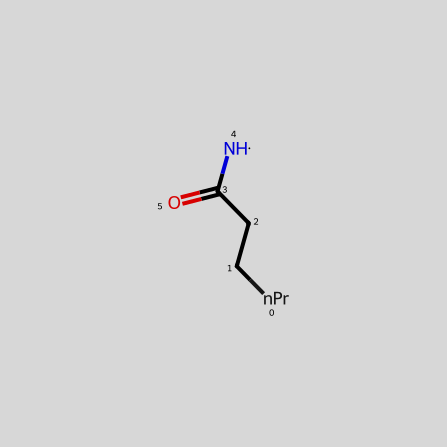 CCCCCC([NH])=O